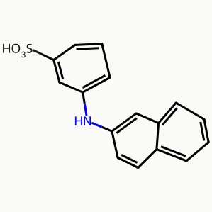 O=S(=O)(O)c1cccc(Nc2ccc3ccccc3c2)c1